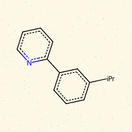 CC(C)c1cccc(-c2ccccn2)c1